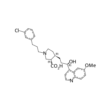 COc1ccc2nccc([C@H](O)CC[C@@H]3CCN(CCCc4cccc(Cl)c4)C[C@@H]3C(=O)O)c2c1